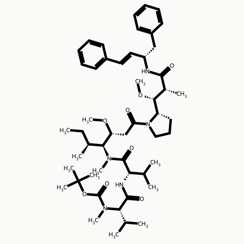 CC[C@H](C)[C@@H]([C@@H](CC(=O)N1CCC[C@H]1[C@H](OC)[C@@H](C)C(=O)N[C@H](/C=C/c1ccccc1)Cc1ccccc1)OC)N(C)C(=O)[C@@H](NC(=O)[C@H](C(C)C)N(C)C(=O)OC(C)(C)C)C(C)C